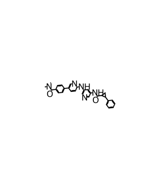 CN(C)C(=O)c1ccc(-c2ccc(Nc3cncc(NC(=O)C4CC4c4ccccc4)c3)nc2)cc1